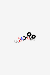 CC(C)(C)OC(=O)N1CCC(CO[Si](c2ccccc2)(c2ccccc2)C(C)(C)C)CC1